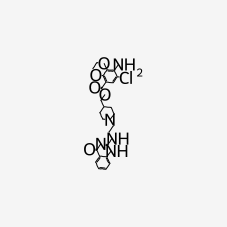 Nc1c(Cl)cc(C(=O)OCC2CCN(CCNc3nc(=O)c4ccccc4[nH]3)CC2)c2c1OCCO2